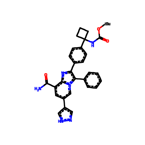 CC(C)(C)OC(=O)NC1(c2ccc(-c3nc4c(C(N)=O)cc(-c5cn[nH]c5)cn4c3-c3ccccc3)cc2)CCC1